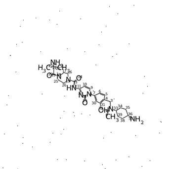 CCN(Cc1ccc(-n2ccc(NC(=O)N3CCN(C(=O)C(C)(C)N)CC3)nc2=O)cc1O)C1CCC(N)CC1